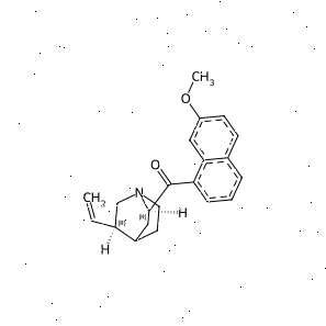 C=C[C@H]1CN2CCC1C[C@@H]2C(=O)c1cccc2ccc(OC)cc12